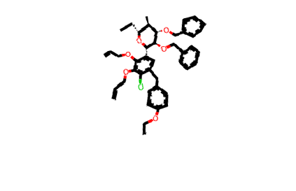 C=CCOc1c([C@@H]2O[C@H](CC)[C@@H](C)[C@H](OCc3ccccc3)[C@H]2OCc2ccccc2)cc(Cc2ccc(OCC)cc2)c(Cl)c1OCC=C